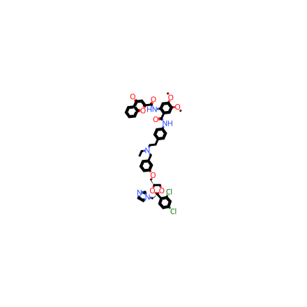 CCN(CCc1ccc(NC(=O)c2cc(OC)c(OC)cc2NC(=O)c2cc(=O)c3ccccc3o2)cc1)Cc1cccc(OC[C@@H]2CO[C@@](Cn3ccnc3)(c3ccc(Cl)cc3Cl)O2)c1